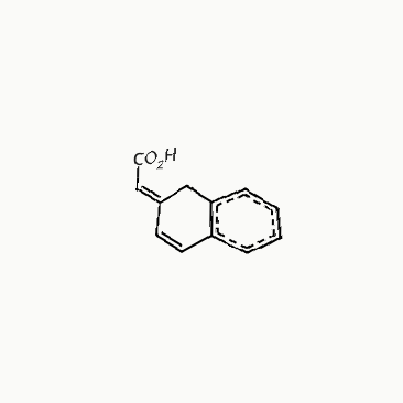 O=C(O)C=C1C=Cc2ccccc2C1